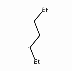 [CH2]C[CH]CCC[CH2]